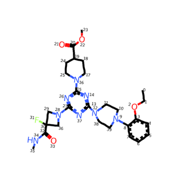 CCOc1ccccc1N1CCN(c2nc(N3CCC(C(=O)OC)CC3)nc(N3CC(F)(C(=O)NC)C3)n2)CC1